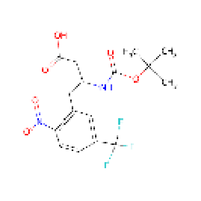 CC(C)(C)OC(=O)NC(CC(=O)O)Cc1cc(C(F)(F)F)ccc1[N+](=O)[O-]